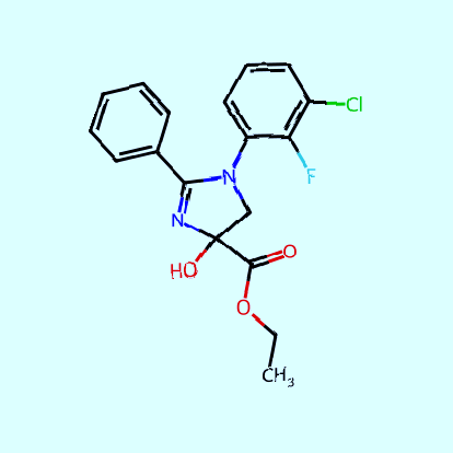 CCOC(=O)C1(O)CN(c2cccc(Cl)c2F)C(c2ccccc2)=N1